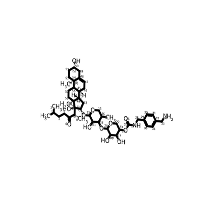 CC(C)CCC(=O)[C@@H](C)[C@@]1(O)[C@@H](OC2OCC(C)C(OC3OCC(OC(=O)NCc4ccc(CN)cc4)C(O)C3O)C2O)C[C@H]2[C@@H]3CC=C4C[C@@H](O)CC[C@]4(C)C3CC[C@@]21C